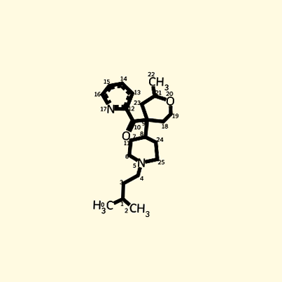 CC(C)CCN1CCC(C2(C(=O)c3ccccn3)CCOC(C)C2)CC1